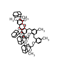 Cc1ccc(OCC(=O)OC2(C)C3CC4CC(C3)CC2C4)c(Cc2cc(C)cc(Cc3cc(C)cc(Cc4cc(C)ccc4OCC(=O)OC4(C)C5CC6CC(C5)CC4C6)c3OCC(=O)OC3(C)C4CC5CC(C4)CC3C5)c2OCC(=O)OC2(C)C3CC4CC(C3)CC2C4)c1